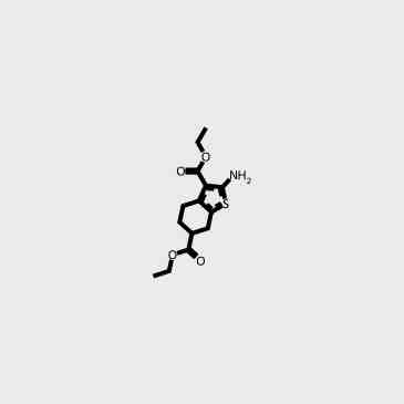 CCOC(=O)c1c(N)sc2c1CCC(C(=O)OCC)C2